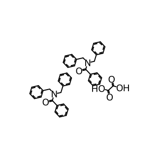 O=C(O)C(=O)O.O=C(c1ccccc1)N(Cc1ccccc1)Cc1ccccc1.O=C(c1ccccc1)N(Cc1ccccc1)Cc1ccccc1